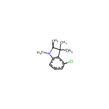 C=C1N(C)c2cccc(Cl)c2C1(C)C